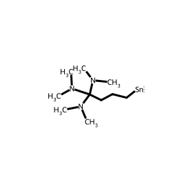 CN(C)C(CC[CH2][Sn])(N(C)C)N(C)C